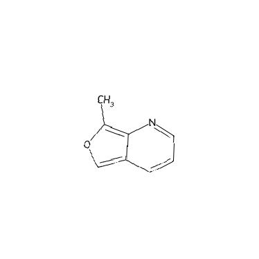 Cc1occ2cccnc12